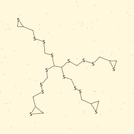 C(SSCC1CS1)SC(SCSSCC1CS1)C(SCSSCC1CS1)SCSSCC1CS1